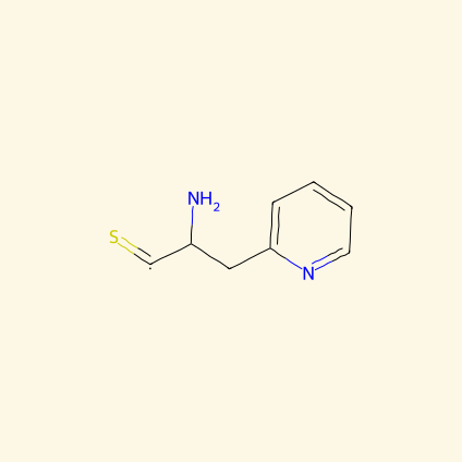 NC([C]=S)Cc1ccccn1